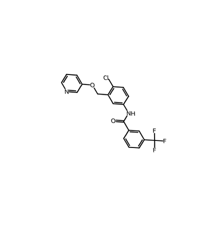 O=C(Nc1ccc(Cl)c(COc2cccnc2)c1)c1cccc(C(F)(F)F)c1